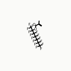 C=C(C)C(=O)OC(F)(C(F)(F)F)C(F)(F)C(F)(F)C(F)(F)C(F)(F)C(F)(F)F